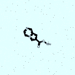 CC(C)(C)OC(=O)c1cc2cnccn2c1